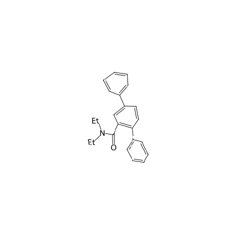 CCN(CC)C(=O)c1cc(-c2ccccc2)ccc1-c1ccccc1